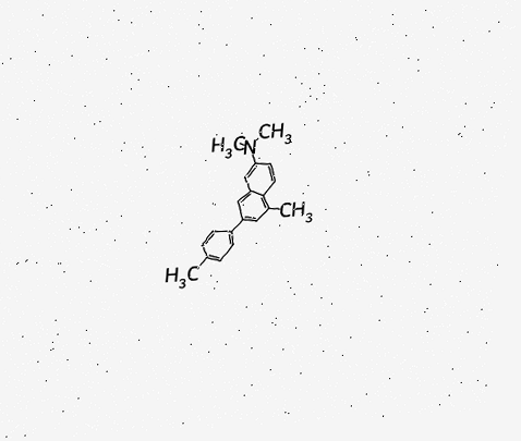 Cc1ccc(-c2cc(C)c3ccc(N(C)C)cc3c2)cc1